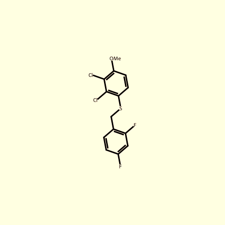 COc1ccc(SCc2ccc(F)cc2F)c(Cl)c1Cl